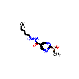 CCCCCNNC(=O)c1cnc([S+](C)[O-])nc1